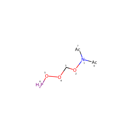 CC(=O)N(OCOOP)C(C)=O